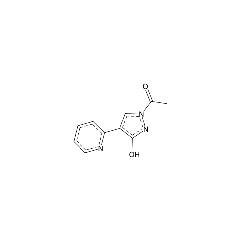 CC(=O)n1cc(-c2ccccn2)c(O)n1